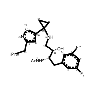 CC(=O)N[C@@H](Cc1cc(F)cc(F)c1)[C@@H](O)CNC1(c2cc(CC(C)C)no2)CC1